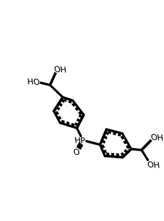 O=[PH](c1ccc(C(O)O)cc1)c1ccc(C(O)O)cc1